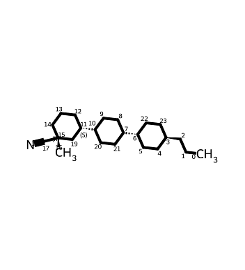 CCC[C@H]1CC[C@H](C2CCC([C@H]3CCC[C@@](C)(C#N)C3)CC2)CC1